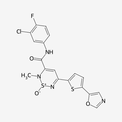 CN1C(C(=O)Nc2ccc(F)c(Cl)c2)=CC(c2ccc(-c3cnco3)s2)=N[S+]1[O-]